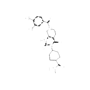 CNC(=O)C1CCC(n2c(=S)[nH]c3c(c2=O)C[C@@H](C)N(C(=O)c2ccc(Cl)c(Cl)c2)C3)CC1